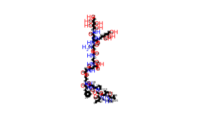 CC[C@H](C)[C@@H]([C@@H](CC(=O)N1CCC[C@H]1[C@H](OC)[C@@H](C)C(=O)N[C@@H](Cc1ccccc1)C(=O)NCCCOC(=O)C(C)NC(=O)CC(NC(=O)CCNC(=O)OCC(N)C(=O)NC(CCC(=O)NC[C@H](O)[C@@H](O)[C@H](O)[C@H](O)CO)C(=O)NCC[C@@H](O)C[C@H](O)CO)C(=O)O)OC)N(C)C(=O)C(NC(=O)[C@H](C(C)C)N(C)C)C(C)C